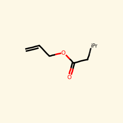 C=CCOC(=O)CC(C)C